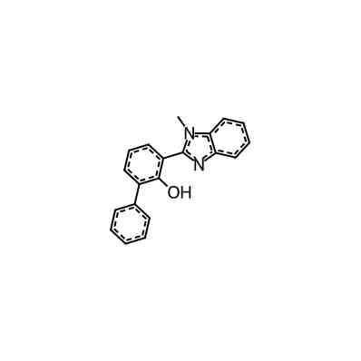 Cn1c(-c2cccc(-c3ccccc3)c2O)nc2ccccc21